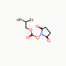 CCCC(CC)COC(=O)ON1C(=O)CCC1=O